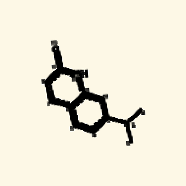 CN(C)c1ccc2ccc(=O)[nH]c2c1